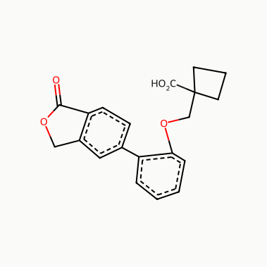 O=C1OCc2cc(-c3ccccc3OCC3(C(=O)O)CCC3)ccc21